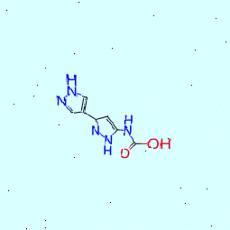 O=C(O)Nc1cc(-c2cn[nH]c2)n[nH]1